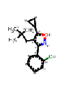 CC(C)(C)Cc1c(-c2ccccc2Cl)noc1C1CC1